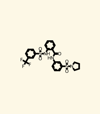 O=C(Nc1cccc(S(=O)(=O)N2CCCC2)c1)c1ccccc1NS(=O)(=O)c1cccc(C(F)(F)F)c1